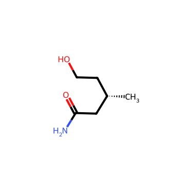 C[C@@H](CCO)CC(N)=O